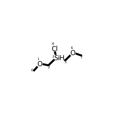 COC[SiH](Cl)COC